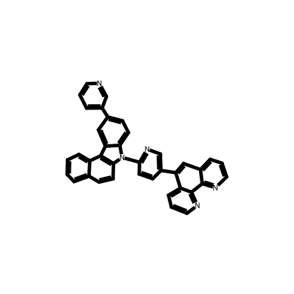 c1cncc(-c2ccc3c(c2)c2c4ccccc4ccc2n3-c2ccc(-c3cc4cccnc4c4ncccc34)cn2)c1